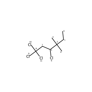 CCC(C)(C)C(Cl)CC(Cl)(Cl)Cl